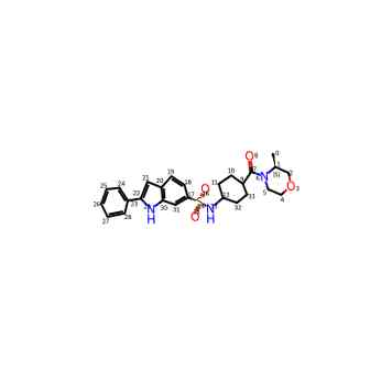 C[C@H]1COCCN1C(=O)C1CCC(NS(=O)(=O)c2ccc3cc(-c4ccccc4)[nH]c3c2)CC1